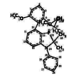 COc1cccc(OC)c1-c1cccc2c1[P@](C(C)(C)C)C(C)(C)N2c1ccccc1